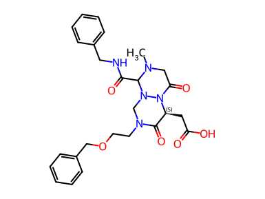 CN1CC(=O)N2[C@@H](CC(=O)O)C(=O)N(CCOCc3ccccc3)CN2C1C(=O)NCc1ccccc1